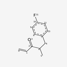 C=CC(=O)C(C)Cc1ccc(F)cc1